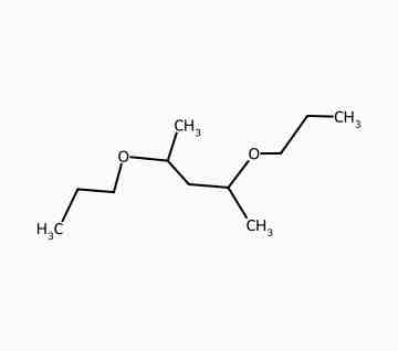 CCCOC(C)CC(C)OCCC